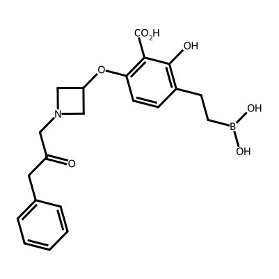 O=C(Cc1ccccc1)CN1CC(Oc2ccc(CCB(O)O)c(O)c2C(=O)O)C1